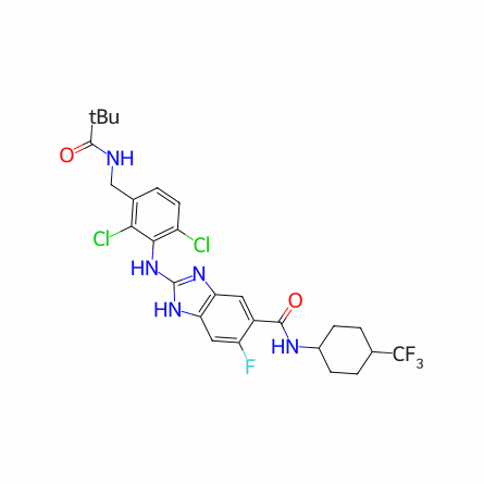 CC(C)(C)C(=O)NCc1ccc(Cl)c(Nc2nc3cc(C(=O)NC4CCC(C(F)(F)F)CC4)c(F)cc3[nH]2)c1Cl